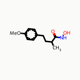 COc1ccc(CCC(C)C(=O)NO)cc1